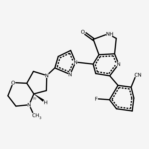 CN1CCOC2CN(c3ccn(-c4cc(-c5c(F)cccc5C#N)nc5c4C(=O)NC5)n3)C[C@@H]21